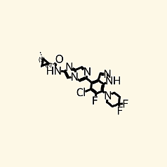 C[C@H]1C[C@H]1C(=O)Nc1cn2cc(-c3c(Cl)c(F)c(N4CCC(F)(F)CC4)c4[nH]ncc34)ncc2n1